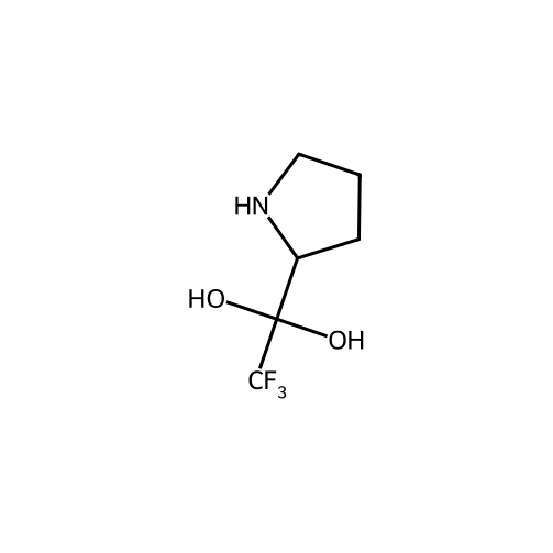 OC(O)(C1CCCN1)C(F)(F)F